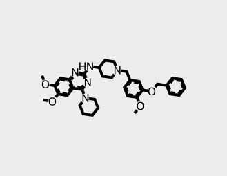 COc1cc2nc(NC3CCN(Cc4ccc(OC)c(OCc5ccccc5)c4)CC3)nc(N3CCCCC3)c2cc1OC